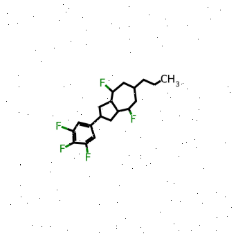 CCCC1CC(F)C2CC(c3cc(F)c(F)c(F)c3)CC2C(F)C1